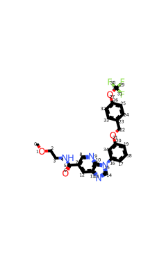 COCCNC(=O)c1cnc2c(c1)ncn2-c1cccc(OCc2ccc(OC(F)(F)F)cc2)c1